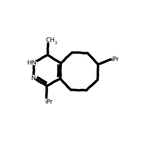 CC(C)C1=NNC(C)C2=C1CCCC(C(C)C)CC2